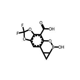 O=C(O)c1c2c(cc3c1OB(O)C1CC31)OC(F)(F)O2